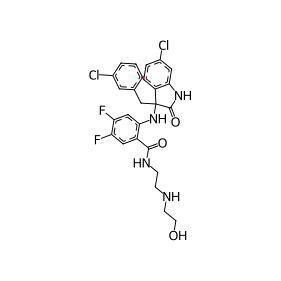 O=C(NCCNCCO)c1cc(F)c(F)cc1NC1(Cc2cccc(Cl)c2)C(=O)Nc2cc(Cl)ccc21